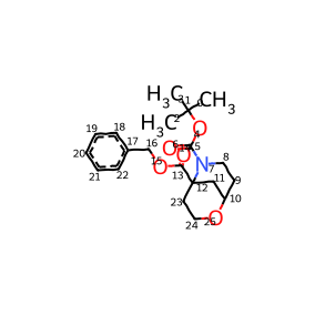 CC(C)(C)OC(=O)N1CCC2CC1(C(=O)OCc1ccccc1)CCO2